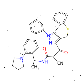 CC(NC(=O)C(C#N)C(=O)c1nn(-c2ccccc2)c2c1CSc1ccccc1-2)c1ccccc1N1CCCC1